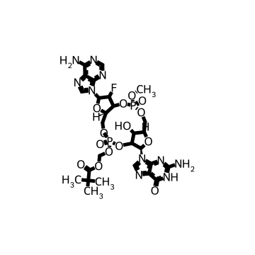 COP1(=O)OC[C@H]2O[C@@H](n3cnc4c(=O)[nH]c(N)nc43)C(OP(=O)(OCOC(=O)C(C)(C)C)OC[C@H]3OC(n4cnc5c(N)ncnc54)C(F)C3O1)C2O